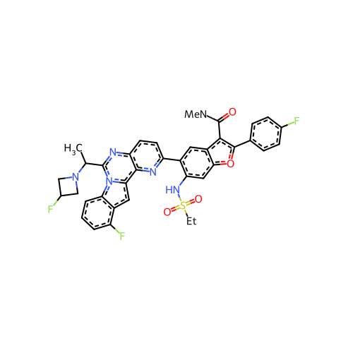 CCS(=O)(=O)Nc1cc2oc(-c3ccc(F)cc3)c(C(=O)NC)c2cc1-c1ccc2nc(C(C)N3CC(F)C3)n3c4cccc(F)c4cc3c2n1